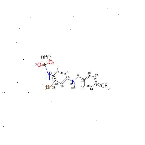 CCCOC(=O)Nc1ccc(N(C)Cc2ccc(C(F)(F)F)cc2)cc1Br